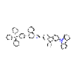 CCC1(CC)C2=C(CCC(/C=C/c3ccc(-c4ccc(C(c5ccccc5)(c5ccccc5)c5ccccc5)cc4)c4ccccc34)=C2)c2ccc(-n3c4ccccc4c4ccccc43)cc21